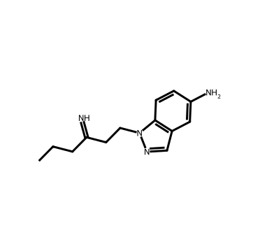 CCCC(=N)CCn1ncc2cc(N)ccc21